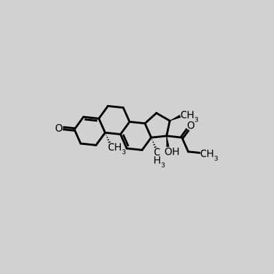 CCC(=O)[C@@]1(O)[C@H](C)CC2C3CCC4=CC(=O)CC[C@]4(C)C3=CC[C@@]21C